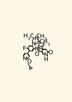 CC1CN(c2cc(F)c(-c3ccnc(OCC4CC4)c3)cc2NC(=O)c2c[nH]c(=O)cc2C(F)(F)F)CC(C)N1C